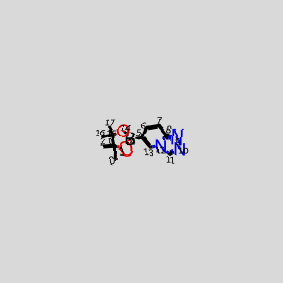 CC1(C)OB(c2ccc3nncn3c2)OC1(C)C